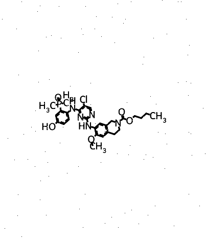 CCCCOC(=O)N1CCc2cc(OC)c(Nc3ncc(Cl)c(Nc4ccc(O)cc4P(C)(C)=O)n3)cc2C1